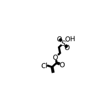 C=C(Cl)C(=O)OCCS(=O)(=O)O